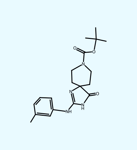 Cc1cccc(NC2=NC3(CCN(C(=O)OC(C)(C)C)CC3)C(=O)N2)c1